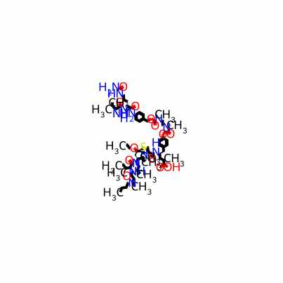 CCCCN(C)CC(=O)N[C@H](C(=O)N(CCC)[C@H](C[C@@H](OCCC)c1nc(C(=O)N[C@@H](Cc2ccc(OC(=O)N(C)CCN(C)C(=O)OCc3ccc(NC(=O)[C@@H](CCCNC(N)=O)NC(=O)[C@H](N)C(C)C)cc3)cc2)C[C@H](C)C(=O)O)cs1)C(C)C)[C@@H](C)CC